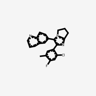 Cc1cc(-c2nc3n(c2-c2ccc4ncccc4c2)CCC3)c(Cl)cc1F